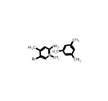 Cc1cc(C)cc(C)c1.Cc1cc(N)[n+](N)cc1Br